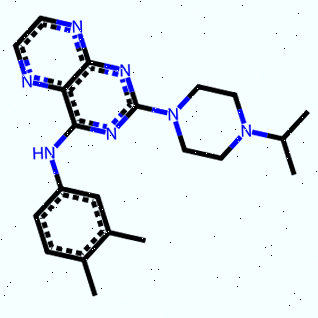 Cc1ccc(Nc2nc(N3CCN(C(C)C)CC3)nc3nccnc23)cc1C